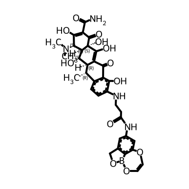 C[C@H]1c2ccc(NCCC(=O)Nc3cc4c5c(c3)OC=COB5OC4)c(O)c2C(=O)C2=C(O)[C@]3(O)C(=O)C(C(N)=O)=C(O)[C@@H](N(C)C)[C@@H]3[C@@H](O)[C@@H]21